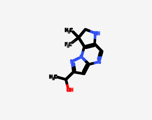 CC(O)c1cc2ncc3c(n2n1)C(C)(C(F)(F)F)CN3